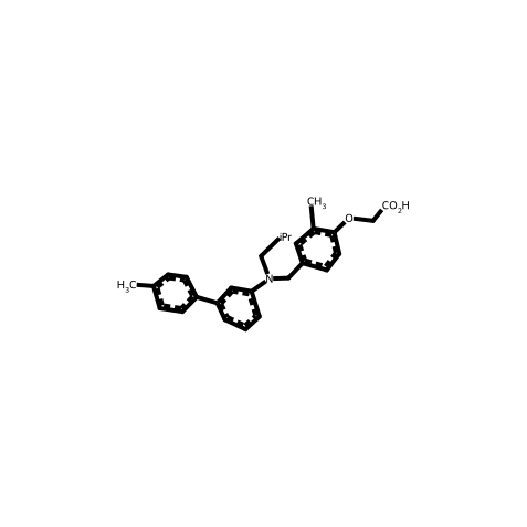 Cc1ccc(-c2cccc(N(Cc3ccc(OCC(=O)O)c(C)c3)CC(C)C)c2)cc1